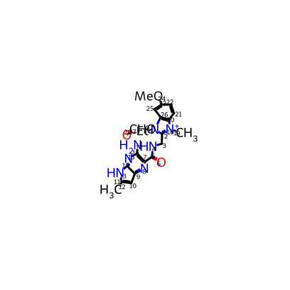 CCn1c(CNC(=O)c2nc3cc(C)[nH]c3nc2N)[n+](C)c2ccc(OC)cc21.O=C[O-]